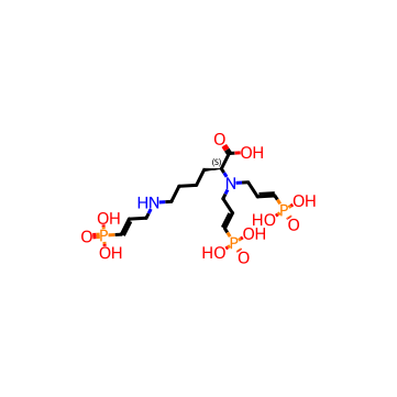 O=C(O)[C@H](CCCCNCC=CP(=O)(O)O)N(CC=CP(=O)(O)O)CC=CP(=O)(O)O